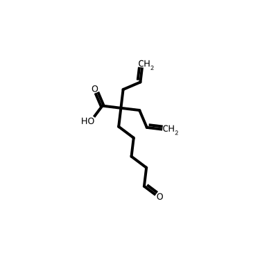 C=CCC(CC=C)(CCCCC=O)C(=O)O